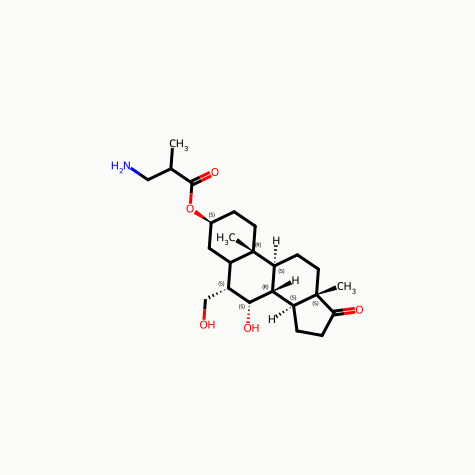 CC(CN)C(=O)O[C@H]1CC[C@@]2(C)C(C1)[C@@H](CO)[C@@H](O)[C@@H]1[C@@H]2CC[C@]2(C)C(=O)CC[C@@H]12